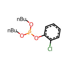 CCCCOP(OCCCC)Oc1ccccc1Cl